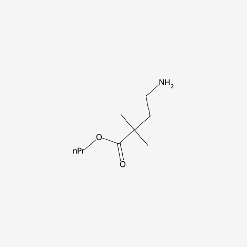 CCCOC(=O)C(C)(C)CCN